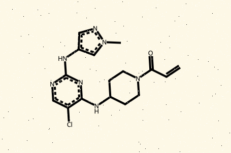 C=CC(=O)N1CCC(Nc2nc(Nc3cnn(C)c3)ncc2Cl)CC1